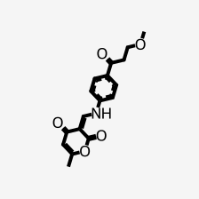 COCCC(=O)c1ccc(NC=C2C(=O)C=C(C)OC2=O)cc1